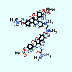 CNS(=O)(=O)Nc1cccc(Cc2c(CNCC(=O)N(C)C)c3ccc(OC(=O)N(C)CCN(C)C4CCN(Cc5c(Cc6cccc(NS(=O)(=O)NC)c6F)c(=O)oc6cc(OC(=O)N(C)C)ccc56)CC4)cc3oc2=O)c1F